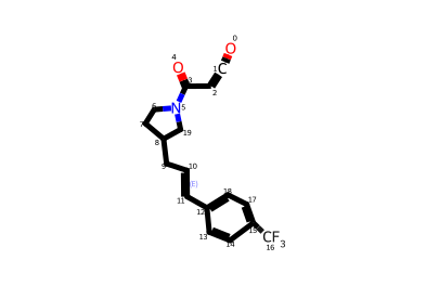 O=C=CC(=O)N1CCC(C/C=C/c2ccc(C(F)(F)F)cc2)C1